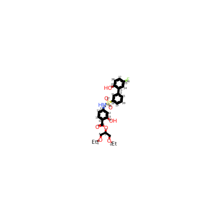 CCOCC(COCC)OC(=O)c1ccc(NS(=O)(=O)c2cccc(-c3cc(F)ccc3O)c2)cc1O